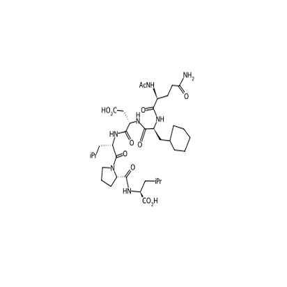 CC(=O)N[C@@H](CCC(N)=O)C(=O)N[C@@H](CC1CCCCC1)C(=O)N[C@@H](CC(=O)O)C(=O)N[C@@H](CC(C)C)C(=O)N1CCC[C@H]1C(=O)N[C@@H](CC(C)C)C(=O)O